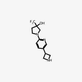 OC1(C(F)(F)F)CCN(c2ccc(C3CNC3)cn2)C1